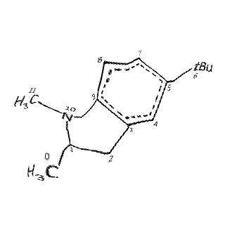 CC1Cc2cc(C(C)(C)C)ccc2N1C